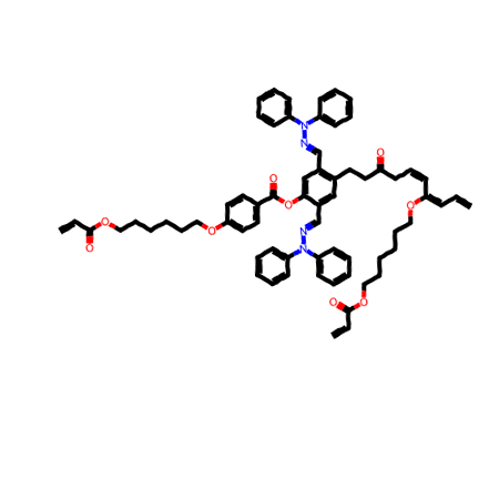 C=C/C=C(\C=C/CC(=O)CCc1cc(/C=N/N(c2ccccc2)c2ccccc2)c(OC(=O)c2ccc(OCCCCCCOC(=O)C=C)cc2)cc1/C=N/N(c1ccccc1)c1ccccc1)OCCCCCCOC(=O)C=C